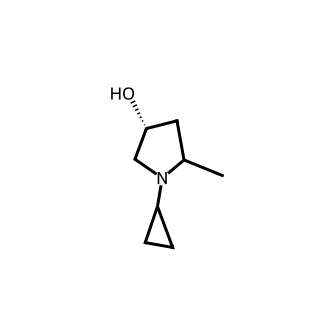 CC1C[C@@H](O)CN1C1CC1